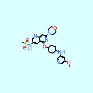 COc1cncc(NC2CCC(Oc3nc(N4CCOCC4)cc4ncc(NS(C)(=O)=O)cc34)CC2)c1